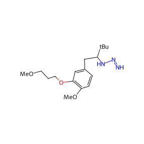 COCCCOc1cc(CC(NN=N)C(C)(C)C)ccc1OC